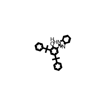 CC(C)(c1ccccc1)c1cc(N2N=C3C=CC=CC3N2)c(O)c(C(C)(C)c2ccccc2)c1